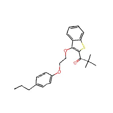 CCCc1ccc(OCCOc2c(C(=O)C(C)(C)C)sc3ccccc23)cc1